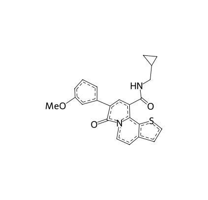 COc1cccc(-c2cc(C(=O)NCC3CC3)c3c4sccc4ccn3c2=O)c1